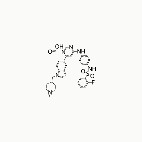 CN1CCC(Cn2ccc3cc(-c4cc(Nc5ccc(NS(=O)(=O)c6ccccc6F)cc5)ncn4)ccc32)CC1.O=CO